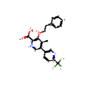 Cc1c(-c2ccc(C(F)(F)F)nc2)cnc(C(=O)O)c1OCCc1ccccc1